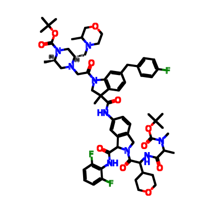 CC1COCCN1C[C@H]1CN(C(=O)OC(C)(C)C)[C@H](C)CN1CC(=O)N1CC(C)(C(=O)Nc2ccc3c(c2)C(C(=O)Nc2c(F)cccc2F)N(C(=O)C(NC(=O)C(C)N(C)C(=O)OC(C)(C)C)C2CCOCC2)C3)c2ccc(Cc3ccc(F)cc3)cc21